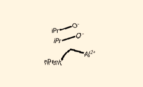 CC(C)[O-].CC(C)[O-].CCCCC[CH2][Al+2]